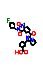 Cn1c(=O)n(Cc2ccc(F)cc2)c(=O)c2cc(C(=O)c3nc(-c4cccc(C(=O)O)c4)c4ccccn34)ccc21